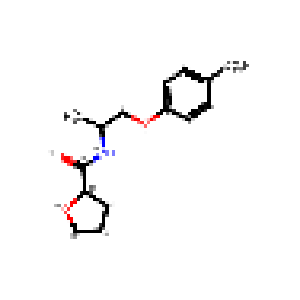 CC(COc1ccc(C(=O)O)cc1)NC(=O)C1CCCO1